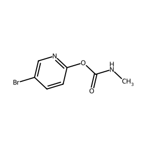 CNC(=O)Oc1ccc(Br)cn1